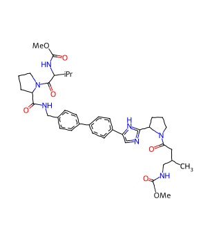 COC(=O)NCC(C)CC(=O)N1CCCC1c1ncc(-c2ccc(-c3ccc(CNC(=O)C4CCCN4C(=O)C(NC(=O)OC)C(C)C)cc3)cc2)[nH]1